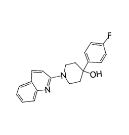 OC1(c2ccc(F)cc2)CCN(c2ccc3ccccc3n2)CC1